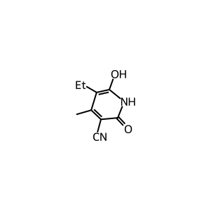 CCc1c(O)[nH]c(=O)c(C#N)c1C